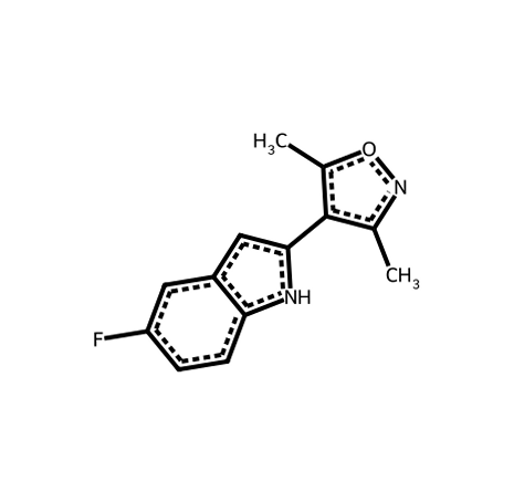 Cc1noc(C)c1-c1cc2cc(F)ccc2[nH]1